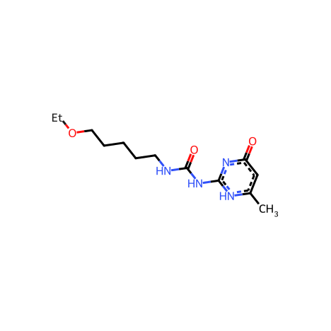 CCOCCCCCNC(=O)Nc1nc(=O)cc(C)[nH]1